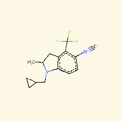 [C-]#[N+]c1ccc2c(c1C(F)(F)F)CC(C)N2CC1CC1